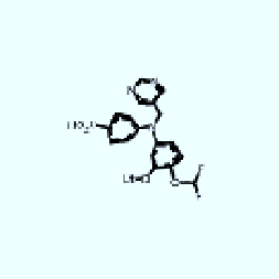 CCOc1cc(N(Cc2cncnc2)c2ccc(C(=O)O)cc2)ccc1OC(F)F